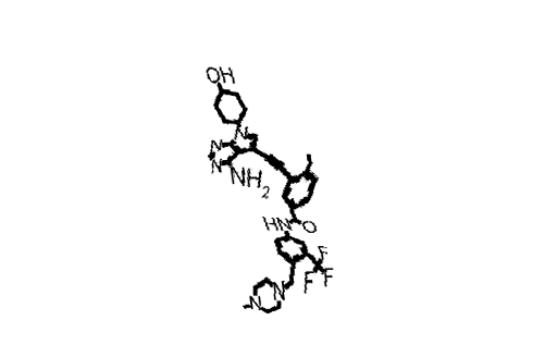 Cc1ccc(C(=O)Nc2ccc(CN3CCN(C)CC3)c(C(F)(F)F)c2)cc1C#Cc1cn(C2CCC(O)CC2)c2ncnc(N)c12